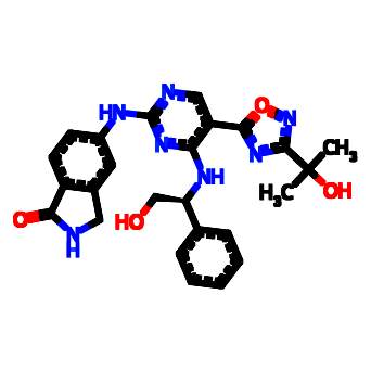 CC(C)(O)c1noc(-c2cnc(Nc3ccc4c(c3)CNC4=O)nc2N[C@H](CO)c2ccccc2)n1